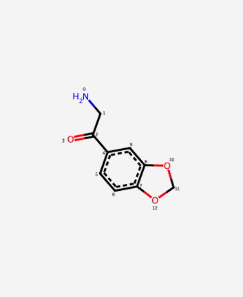 NCC(=O)c1ccc2c(c1)OCO2